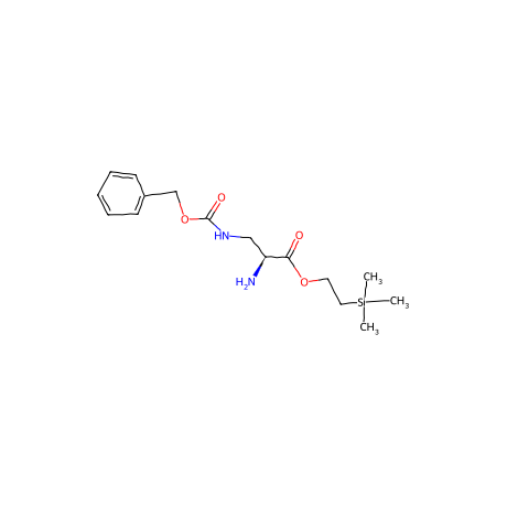 C[Si](C)(C)CCOC(=O)[C@@H](N)CNC(=O)OCc1ccccc1